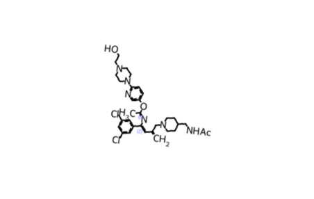 C=C(/C=C(\N=C(/C)Oc1ccc(N2CCN(CCO)CC2)nc1)c1cc(Cl)cc(Cl)c1)CN1CCC(CNC(C)=O)CC1